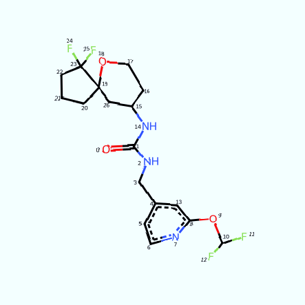 O=C(NCc1ccnc(OC(F)F)c1)NC1CCOC2(CCCC2(F)F)C1